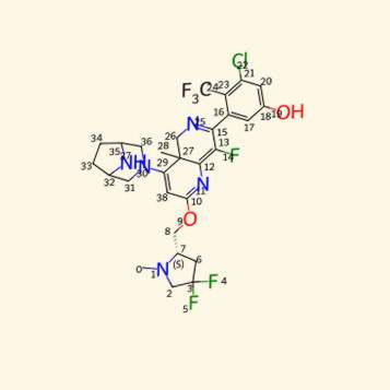 CN1CC(F)(F)C[C@H]1COC1=NC2=C(F)C(c3cc(O)cc(Cl)c3C(F)(F)F)=NCC2(C)C(N2CC3CCC(C2)N3)=C1